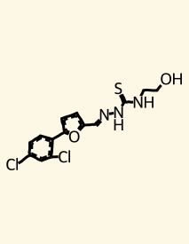 OCCNC(=S)N/N=C/c1ccc(-c2ccc(Cl)cc2Cl)o1